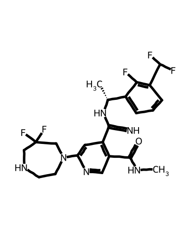 CNC(=O)c1cnc(N2CCNCC(F)(F)C2)cc1C(=N)N[C@H](C)c1cccc(C(F)F)c1F